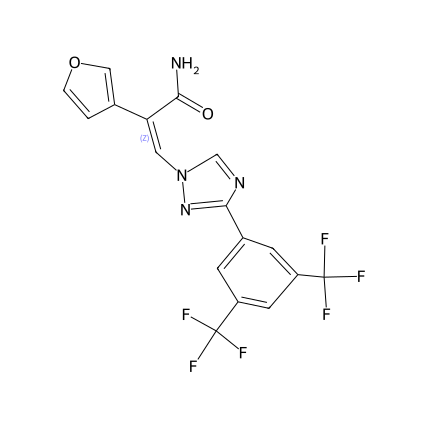 NC(=O)/C(=C\n1cnc(-c2cc(C(F)(F)F)cc(C(F)(F)F)c2)n1)c1ccoc1